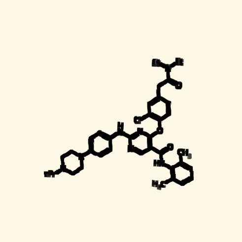 CCCN1CCN(c2ccc(Nc3ncc(C(=O)Nc4c(C)cccc4C)c(Oc4ccc(CC(=O)N(CC)CC)cc4Cl)n3)cc2)CC1